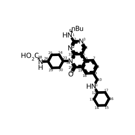 CCCCNc1ncc2c3ccc(CNC4CCCCC4)cc3c(=O)n(C3CCC(NC(=O)O)CC3)c2n1